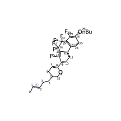 C/C=C/CCC1CC=C(c2ccc3c(c2F)C(F)(F)C(F)(F)c2c-3ccc(OCCCC)c2F)OC1